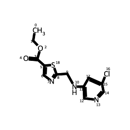 CCOC(=O)c1cnc(CNc2cncc(Cl)c2)s1